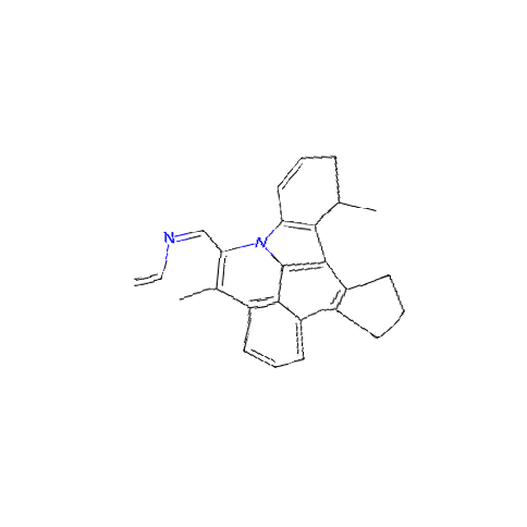 C=C/N=C\c1c(C)c2cccc3c4c(c5c6c(n1c5c23)C=CCC6C)CCC4